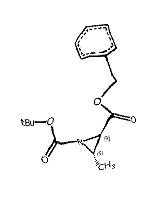 C[C@H]1[C@H](C(=O)OCc2ccccc2)N1C(=O)OC(C)(C)C